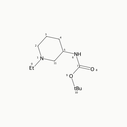 CCN1CCCC(NC(=O)OC(C)(C)C)C1